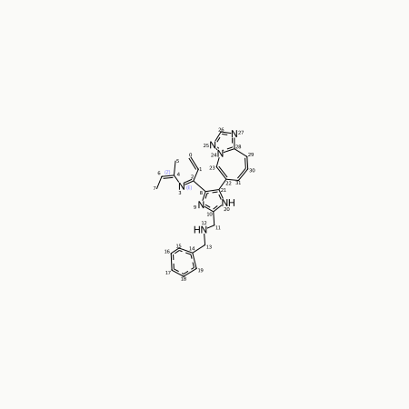 C=C/C(=N\C(C)=C/C)c1nc(CNCc2ccccc2)[nH]c1C1=Cn2ncnc2C=C=C1